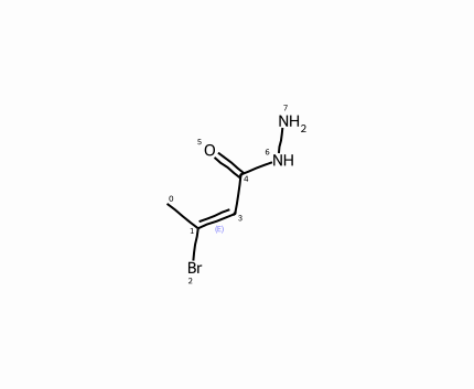 C/C(Br)=C\C(=O)NN